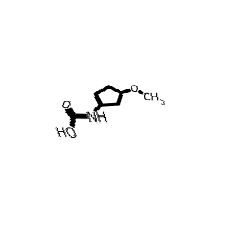 COC1CCC(NC(=O)O)C1